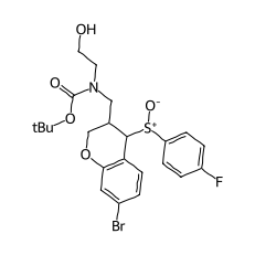 CC(C)(C)OC(=O)N(CCO)CC1COc2cc(Br)ccc2C1[S+]([O-])c1ccc(F)cc1